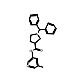 Cc1cncc(NC(=O)C2CCN(C(c3ccccc3)c3ccccc3)C2)c1